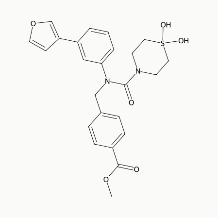 COC(=O)c1ccc(CN(C(=O)N2CCS(O)(O)CC2)c2cccc(-c3ccoc3)c2)cc1